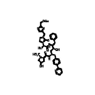 CCC(C)C(C(=O)NC(Cc1ccccc1)C(O)CN(Cc1ccc(-c2ccccn2)cc1)NC(=O)C1CC(O)CN1C(=O)O)N1CCN(Cc2csc(COC)n2)C1=O